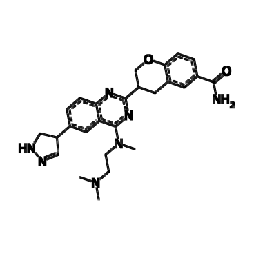 CN(C)CCN(C)c1nc(C2COc3ccc(C(N)=O)cc3C2)nc2ccc(C3C=NNC3)cc12